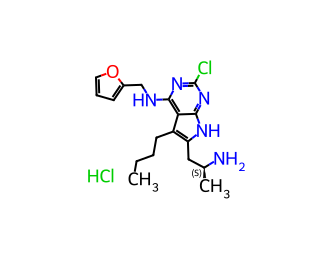 CCCCc1c(C[C@H](C)N)[nH]c2nc(Cl)nc(NCc3ccco3)c12.Cl